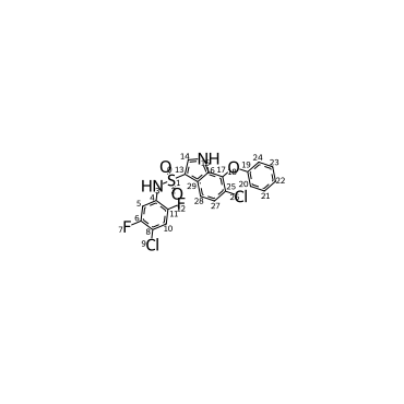 O=S(=O)(Nc1cc(F)c(Cl)cc1F)c1c[nH]c2c(Oc3ccccc3)c(Cl)ccc12